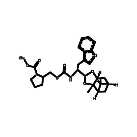 CC(C)(C)OC(=O)N1CCCC1COC(=O)N[C@@H](Cc1coc2ccccc12)B1O[C@@H]2C[C@@H]3C[C@@H](C3(C)C)[C@]2(C)O1